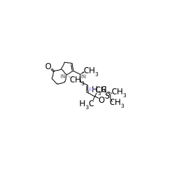 C[C@@H](C/C=C/C(C)(C)O[Si](C)(C)C)C1=CCC2C(=O)CCC[C@]12C